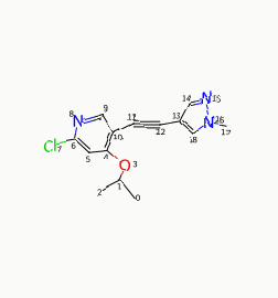 CC(C)Oc1cc(Cl)ncc1C#Cc1cnn(C)c1